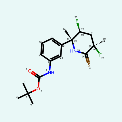 CC(C)(C)OC(=O)Nc1cccc([C@@]2(C)NC(=S)[C@](C)(F)C[C@@H]2F)c1